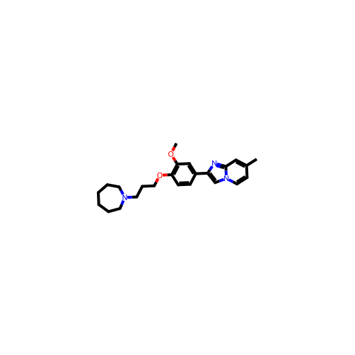 COc1cc(-c2cn3ccc(C)cc3n2)ccc1OCCCN1CCCCCC1